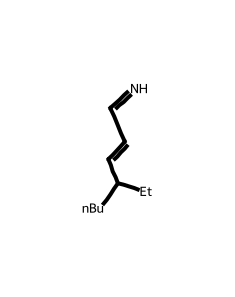 CCCCC(/C=C/C=N)CC